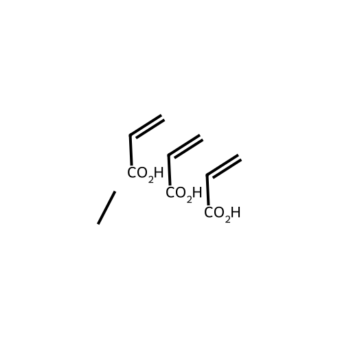 C=CC(=O)O.C=CC(=O)O.C=CC(=O)O.CC